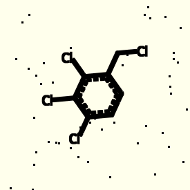 ClCc1ccc(Cl)c(Cl)c1Cl